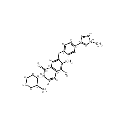 Cc1c(Cc2ccc(-c3cnn(C)c3)nc2)cc2c(=O)n([C@H]3CCOC[C@@H]3N)nnc2c1Cl